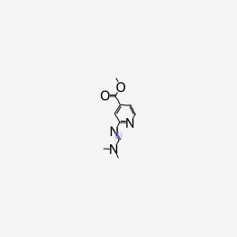 COC(=O)c1ccnc(/N=C/N(C)C)c1